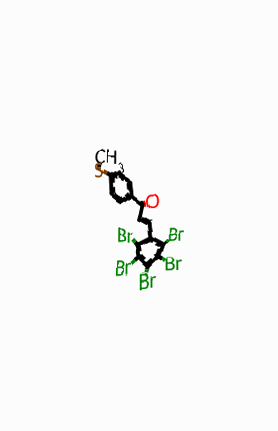 CSc1ccc(C(=O)C=Cc2c(Br)c(Br)c(Br)c(Br)c2Br)cc1